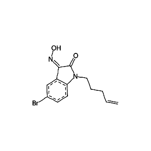 C=CCCCN1C(=O)/C(=N\O)c2cc(Br)ccc21